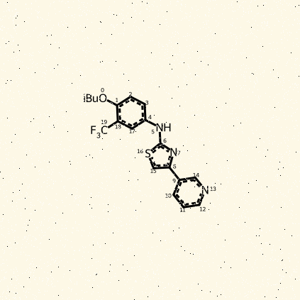 CC(C)COc1ccc(Nc2nc(-c3cccnc3)cs2)cc1C(F)(F)F